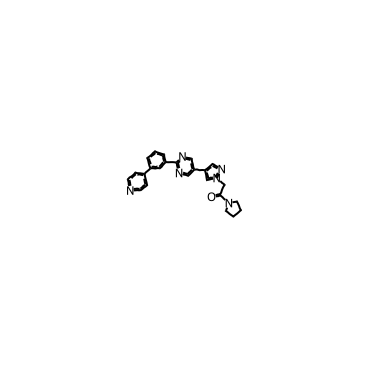 O=C(Cn1cc(-c2cnc(-c3cccc(-c4ccncc4)c3)nc2)cn1)N1CCCC1